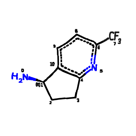 N[C@@H]1CCc2nc(C(F)(F)F)ccc21